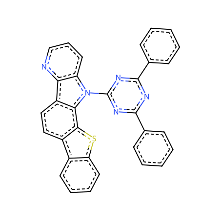 c1ccc(-c2nc(-c3ccccc3)nc(-n3c4cccnc4c4ccc5c6ccccc6sc5c43)n2)cc1